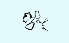 CSC(=S)OC1CCCC1(c1ccccc1)c1ccccc1